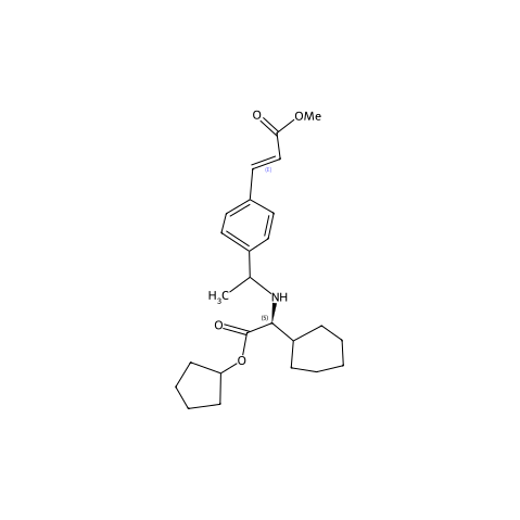 COC(=O)/C=C/c1ccc(C(C)N[C@H](C(=O)OC2CCCC2)C2CCCCC2)cc1